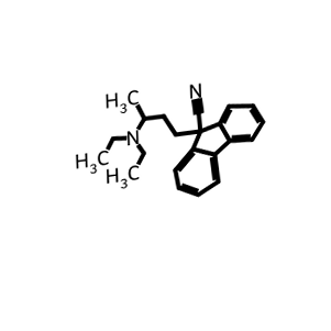 CCN(CC)C(C)CCC1(C#N)c2ccccc2-c2ccccc21